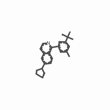 Cc1cc(-c2nccc3cc(C4CCCC4)ccc23)cc(C(C)(C)C)c1